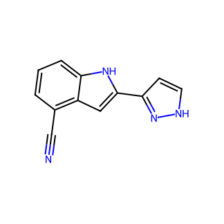 N#Cc1cccc2[nH]c(-c3cc[nH]n3)cc12